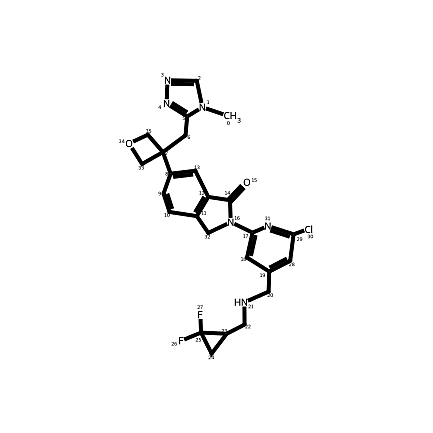 Cn1cnnc1CC1(c2ccc3c(c2)C(=O)N(c2cc(CNCC4CC4(F)F)cc(Cl)n2)C3)COC1